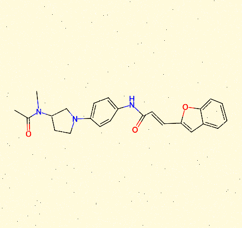 CC(=O)N(C)C1CCN(c2ccc(NC(=O)/C=C/c3cc4ccccc4o3)cc2)C1